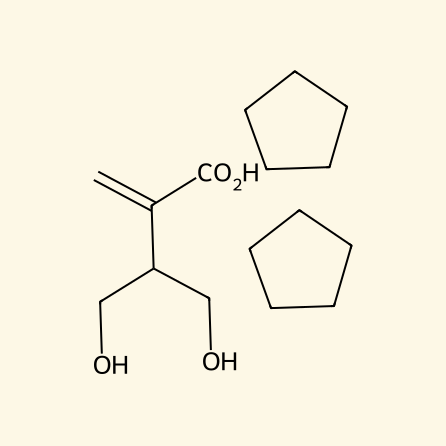 C1CCCC1.C1CCCC1.C=C(C(=O)O)C(CO)CO